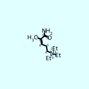 CC[N+](CC)(CC)CCC=C(C)C(N)=O